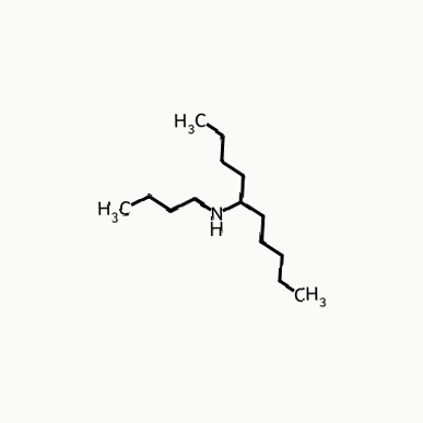 CCCCCC(CCCC)NCCCC